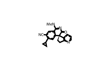 CNC1=NC(=O)[C@@]2(CCc3ncccc32)c2cc(C3CC3)c(C#N)cc21